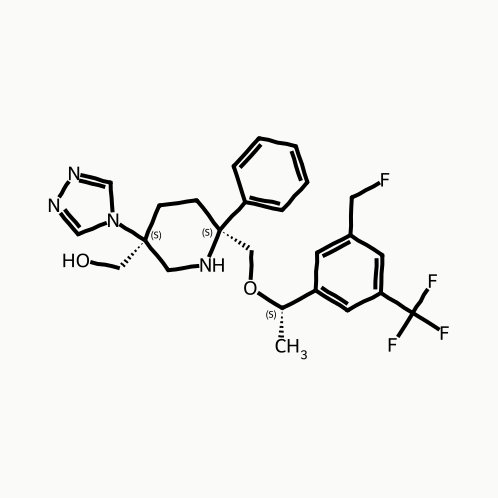 C[C@H](OC[C@@]1(c2ccccc2)CC[C@](CO)(n2cnnc2)CN1)c1cc(CF)cc(C(F)(F)F)c1